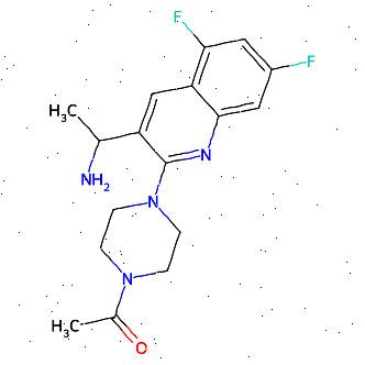 CC(=O)N1CCN(c2nc3cc(F)cc(F)c3cc2C(C)N)CC1